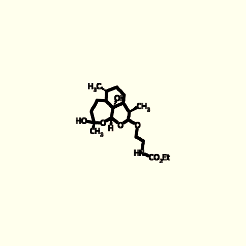 CCOC(=O)NCCOC1O[C@@H]2O[C@](C)(O)CCC3[C@H](C)CCC([C@H]1C)[C@]32O